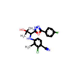 Cc1c(NC(c2nnc(-c3ccc(F)cc3)o2)C(C)(C)O)ccc(C#N)c1Cl